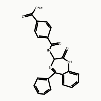 COC(=O)c1ccc(C(=O)NC2N=C(c3ccccc3)c3ccccc3NC2=O)cc1